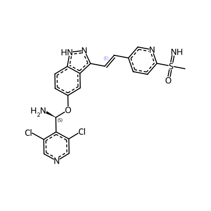 CS(=N)(=O)c1ccc(/C=C/c2n[nH]c3ccc(O[C@H](N)c4c(Cl)cncc4Cl)cc23)cn1